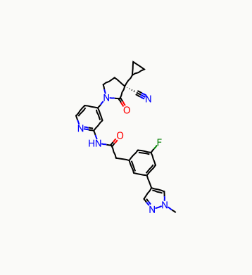 Cn1cc(-c2cc(F)cc(CC(=O)Nc3cc(N4CC[C@@](C#N)(C5CC5)C4=O)ccn3)c2)cn1